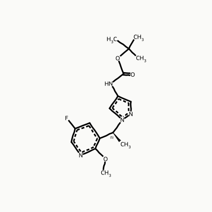 COc1ncc(F)cc1[C@H](C)n1cc(NC(=O)OC(C)(C)C)cn1